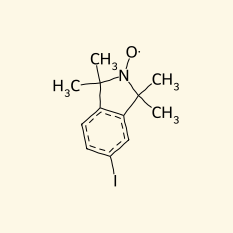 CC1(C)c2ccc(I)cc2C(C)(C)N1[O]